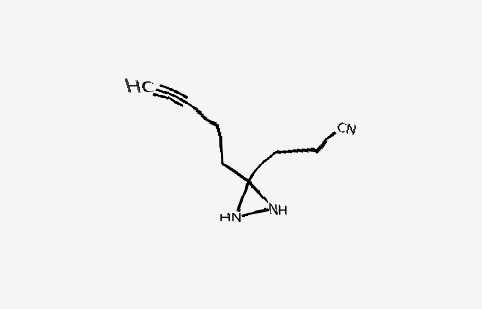 C#CCCC1(CCC#N)NN1